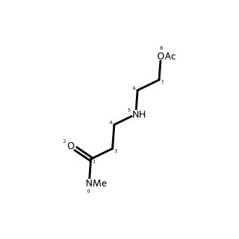 CNC(=O)CCNCCOC(C)=O